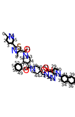 Cc1ccc(-c2nc(C)c(C(=O)N3CC[C@@H](C(=O)N4CCC(O)(Cn5cnc6c(ccn6-c6ccc7ccccc7c6)c5=O)CC4)[C@H](c4ccccc4)C3)s2)cn1